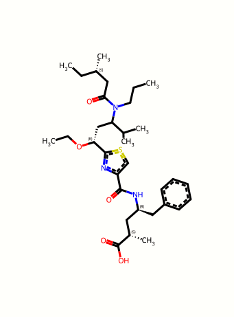 CCCN(C(=O)C[C@@H](C)CC)C(C[C@@H](OCC)c1nc(C(=O)N[C@@H](Cc2ccccc2)C[C@H](C)C(=O)O)cs1)C(C)C